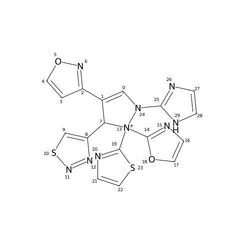 [C]1=C(c2ccon2)C(c2csnn2)[N+](c2ncco2)(c2nccs2)N1c1ncc[nH]1